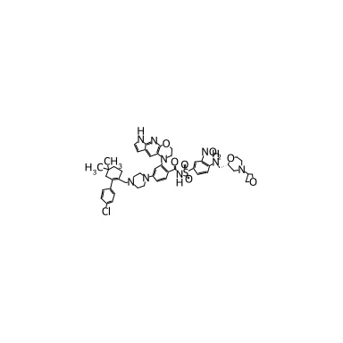 CC1(C)CCC(CN2CCN(c3ccc(C(=O)NS(=O)(=O)c4ccc(NC[C@H]5CN(C6COC6)CCO5)c([N+](=O)[O-])c4)c(N4CCOc5nc6[nH]ccc6cc54)c3)CC2)=C(c2ccc(Cl)cc2)C1